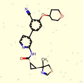 CC1([C@H]2C[C@@H]2C(=O)Nc2cc(-c3ccc(OC4CCOCC4)c(C#N)c3)ccn2)CSC=N1